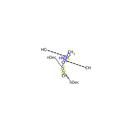 C#CC#CC#CC#CC#CC#CC#CN1/C(=C2\C(=S)c3ccc(C)cc3N2C#CC#CC#CC#CC#CC#CC#C)C(=N)c2ccc(-c3sc4c(sc5c6sc(C)c(CCCCCCCCCCCCCCCCC)c6sc45)c3CCCCCCCCCCCCCCCCC)cc21